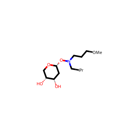 COCCCN(CC(C)C)O[C@@H]1C[C@H](O)[C@H](O)CO1